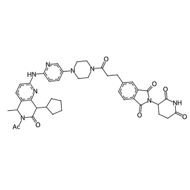 CC(=O)N1C(=O)C(C2CCCC2)c2nc(Nc3ccc(N4CCN(C(=O)CCc5ccc6c(c5)C(=O)N(C5CCC(=O)NC5=O)C6=O)CC4)cn3)ccc2C1C